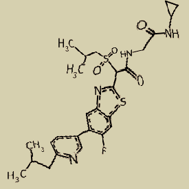 CC(C)Cc1ccc(-c2cc3nc(C(C(=O)NCC(=O)NC4CC4)S(=O)(=O)CC(C)C)sc3cc2F)cn1